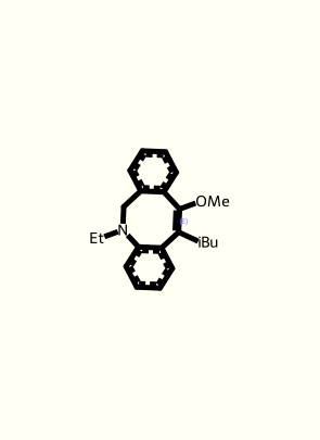 CCC(C)/C1=C(\OC)c2ccccc2CN(CC)c2ccccc21